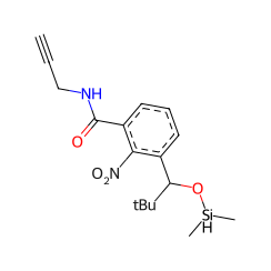 C#CCNC(=O)c1cccc(C(O[SiH](C)C)C(C)(C)C)c1[N+](=O)[O-]